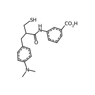 CN(C)c1ccc(CC(CS)C(=O)Nc2cccc(C(=O)O)c2)cc1